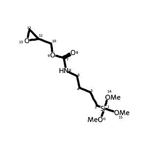 CO[Si](CCCCNC(=O)OCC1CO1)(OC)OC